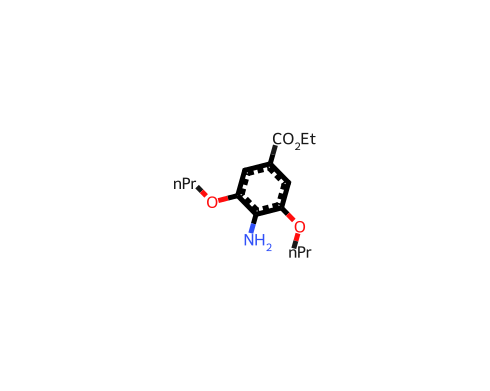 CCCOc1cc(C(=O)OCC)cc(OCCC)c1N